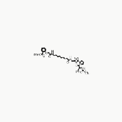 COC(=O)c1ccccc1OCC(=O)NCCCCCCCCC(=O)NCc1noc([C@H]2CCCN2C(=O)C(CC(C)C)NC(=O)OC(C)(C)C)n1